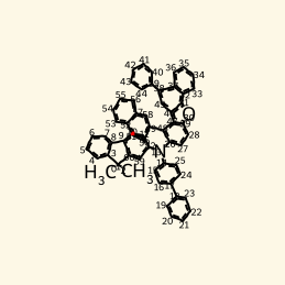 CC1(C)c2ccccc2-c2ccc(N(c3ccc(-c4ccccc4)cc3)c3ccc4oc5c6ccccc6c(-c6ccccc6)cc5c4c3-c3ccc4ccccc4c3)cc21